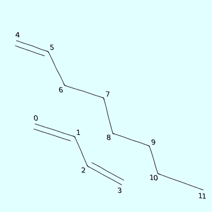 C=CC=C.C=CCCCCCC